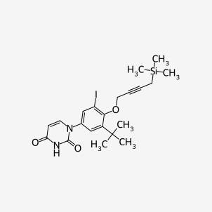 CC(C)(C)c1cc(-n2ccc(=O)[nH]c2=O)cc(I)c1OCC#CC[Si](C)(C)C